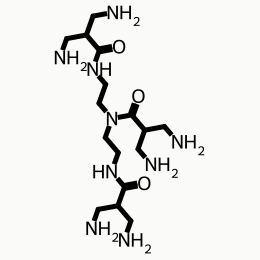 NCC(CN)C(=O)NCCN(CCNC(=O)C(CN)CN)C(=O)C(CN)CN